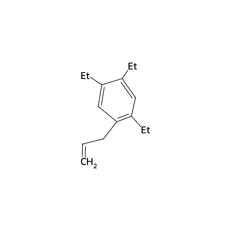 C=CCc1cc(CC)c(CC)cc1CC